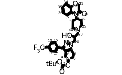 CC(C)(C)OC(=O)ON1CCc2c(c(-c3ccc(C(F)(F)F)cc3)nn2CC(O)CN2CCC(N3C(=O)COc4ccccc43)CC2)C1